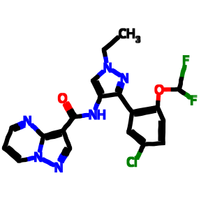 CCn1cc(NC(=O)c2cnn3cccnc23)c(-c2cc(Cl)ccc2OC(F)F)n1